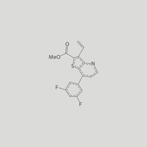 C=Cc1c(C(=O)OC)sc2c(-c3cc(F)cc(F)c3)ccnc12